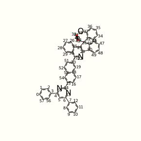 c1ccc(-c2cc(-c3ccccc3)nc(-c3ccc4cc(-c5nc6c(c7ccccc57)C5(c7ccccc7Oc7ccccc75)c5ccccc5-6)ccc4c3)n2)cc1